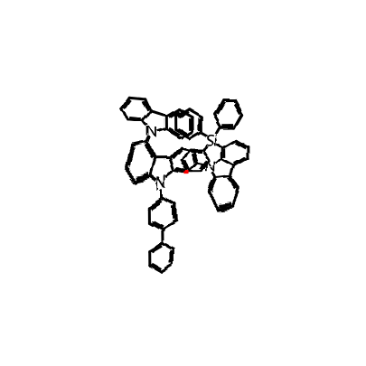 c1ccc(-c2ccc(-n3c4cc(-n5c6ccccc6c6cccc([Si](c7ccccc7)(c7ccccc7)c7ccccc7)c65)ccc4c4c(-n5c6ccccc6c6ccccc65)cccc43)cc2)cc1